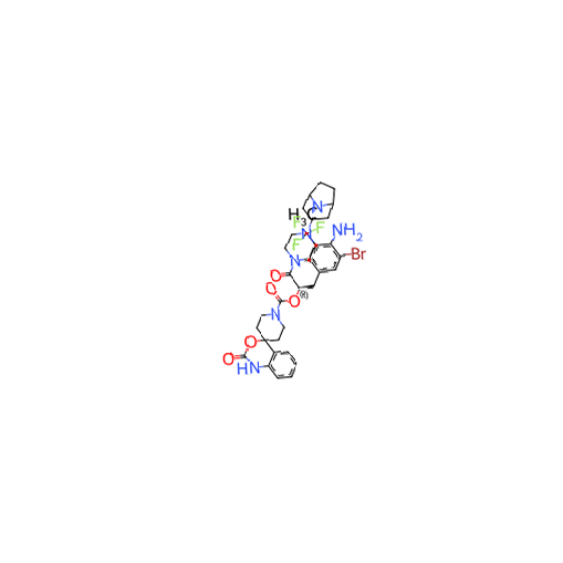 CN1C2CCC1CC(N1CCN(C(=O)[C@@H](Cc3cc(Br)c(N)c(C(F)(F)F)c3)OC(=O)N3CCC4(CC3)OC(=O)Nc3ccccc34)CC1)C2